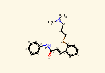 CN(C)CCCSc1ccccc1C=CC(=O)Nc1ccccc1